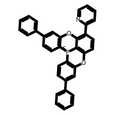 S=P12c3ccc(-c4ccccc4)cc3Oc3ccc(-c4ccccn4)c(c31)Oc1cc(-c3ccccc3)ccc12